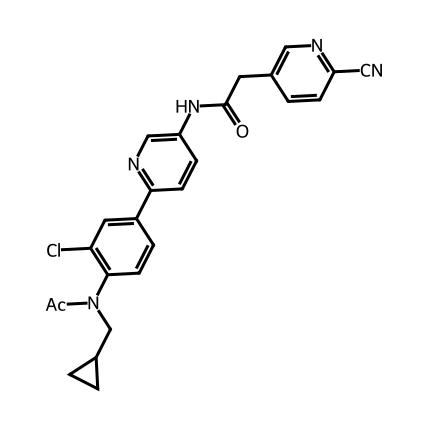 CC(=O)N(CC1CC1)c1ccc(-c2ccc(NC(=O)Cc3ccc(C#N)nc3)cn2)cc1Cl